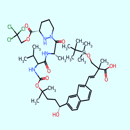 CC(C)[C@H](NC(=O)OC(C)(C)CC[C@@H](O)c1ccc2ccc(/C=C/C(C)(CO[Si](C)(C)C(C)(C)C)C(=O)O)cc2c1)C(=O)N[C@@H](C)C(=O)N1CCC[C@@H](C(=O)OCC(Cl)(Cl)Cl)N1